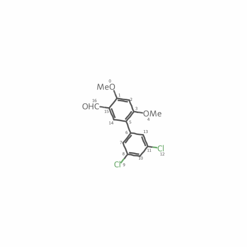 COc1cc(OC)c(-c2cc(Cl)cc(Cl)c2)cc1C=O